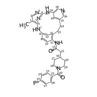 Cc1cnc2nc1Nc1ccc(NC(=O)CC3CCN(C(=O)c4ccc(F)cc4)CC3)c(c1)CCc1cncc(c1)N2